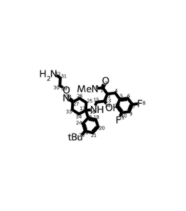 CNC(=O)C(Cc1cc(F)cc(F)c1)C(O)CNC1(c2cccc(C(C)(C)C)c2)CCC(=NOCCN)CC1